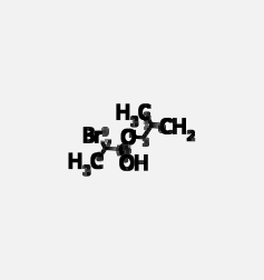 C=C(C)CO[C@@H](O)C(C)Br